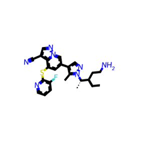 CCC(CCN)[C@H](C)n1ncc(-c2cc(Sc3ncccc3F)c3c(C#N)cnn3c2)c1C